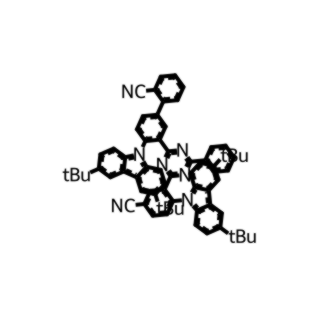 CC(C)(C)c1ccc2c(c1)c1cc(C(C)(C)C)ccc1n2-c1ccc(C#N)cc1-c1nc(-c2ccccc2)nc(-c2cc(-c3ccccc3C#N)ccc2-n2c3ccc(C(C)(C)C)cc3c3cc(C(C)(C)C)ccc32)n1